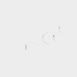 CCOC(=O)CNc1ccc([N+](=O)[O-])cn1